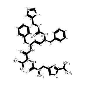 CC(C)c1nc(CN(C)C(=O)N[C@H](C(=O)N[C@H](/C=C/[C@H](Cc2ccccc2)NC(=O)OCc2cncs2)Cc2ccccc2)C(C)C)cs1